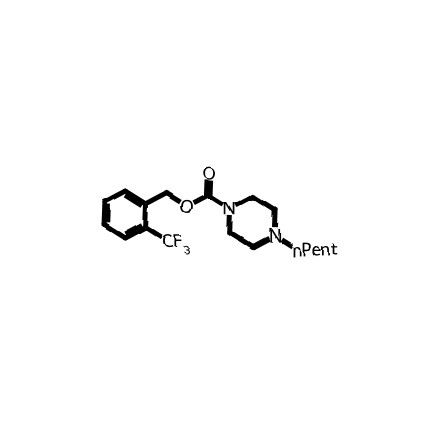 [CH2]CCCCN1CCN(C(=O)OCc2ccccc2C(F)(F)F)CC1